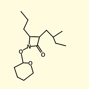 CCCC1C(CC(C)CC)C(=O)N1OC1CCCCO1